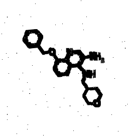 Nc1cnc2c(OCc3ccccc3)cccc2c1NCC1CCOCC1